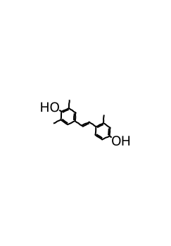 Cc1cc(O)ccc1C=Cc1cc(C)c(O)c(C)c1